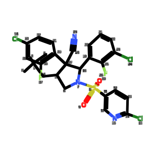 CC(C)(C)CC1CN(S(=O)(=O)c2ccc(Cl)nc2)C(c2cccc(Cl)c2F)C1(C#N)c1ccc(Cl)cc1F